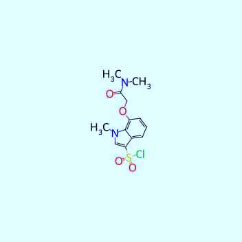 CN(C)C(=O)COc1cccc2c(S(=O)(=O)Cl)cn(C)c12